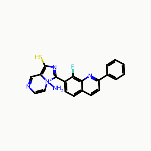 N[N+]12C=CN=CC1=C(S)N=C2c1ccc2ccc(-c3ccccc3)nc2c1F